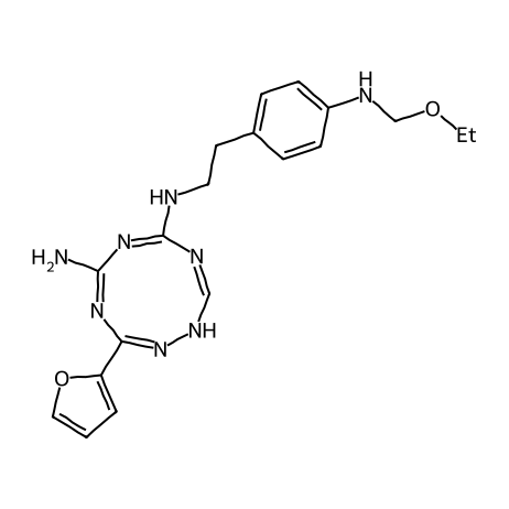 CCOCNc1ccc(CCNc2nc[nH]nc(-c3ccco3)nc(N)n2)cc1